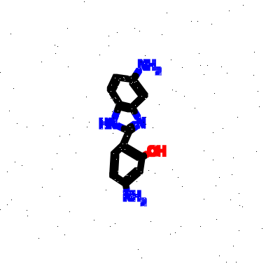 Nc1ccc(-c2nc3cc(N)ccc3[nH]2)c(O)c1